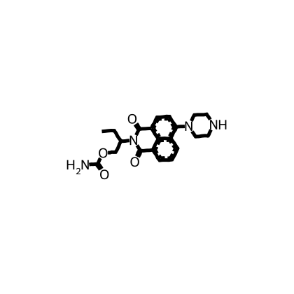 CCC(COC(N)=O)N1C(=O)c2cccc3c(N4CCNCC4)ccc(c23)C1=O